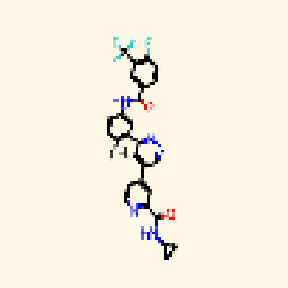 Cc1ccc(NC(=O)c2ccc(F)c(C(F)(F)F)c2)cc1-c1cc(-c2ccnc(C(=O)NC3CC3)c2)cnn1